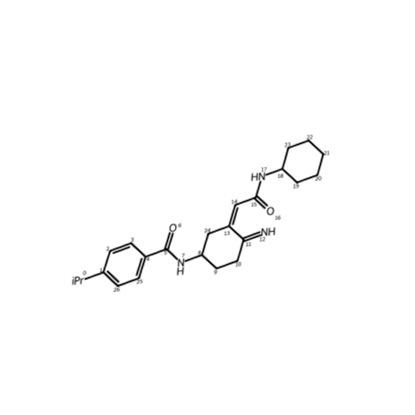 CC(C)c1ccc(C(=O)NC2CCC(=N)/C(=C\C(=O)NC3CCCCC3)C2)cc1